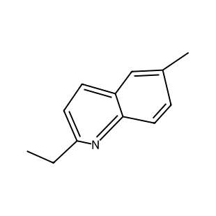 CCc1ccc2cc(C)ccc2n1